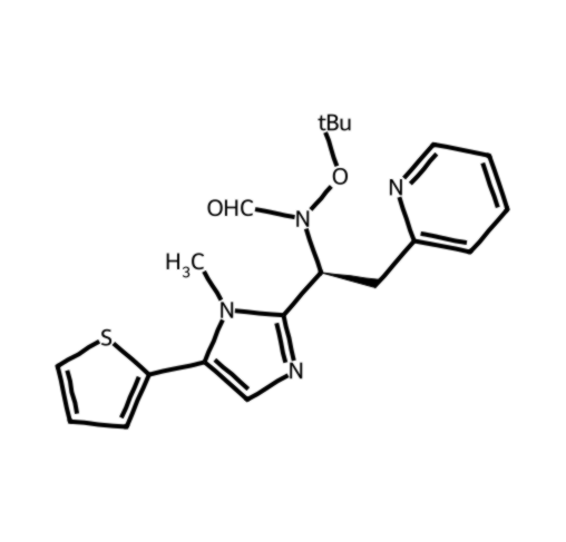 Cn1c(-c2cccs2)cnc1[C@H](Cc1ccccn1)N(C=O)OC(C)(C)C